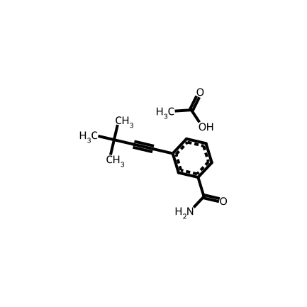 CC(=O)O.CC(C)(C)C#Cc1cccc(C(N)=O)c1